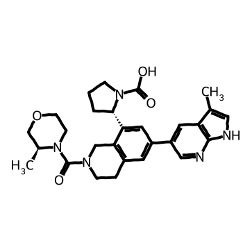 Cc1c[nH]c2ncc(-c3cc4c(c([C@@H]5CCCN5C(=O)O)c3)CN(C(=O)N3CCOC[C@@H]3C)CC4)cc12